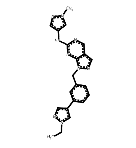 CCn1cc(-c2cccc(Cn3ncc4cnc(Nc5cnn(C)c5)nc43)c2)cn1